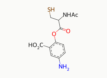 CC(=O)NC(CS)C(=O)Oc1ccc(N)cc1C(=O)O